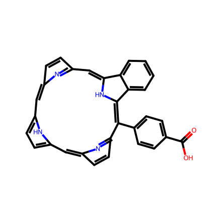 O=C(O)c1ccc(-c2c3nc(cc4ccc(cc5nc(cc6[nH]c2c2ccccc62)C=C5)[nH]4)C=C3)cc1